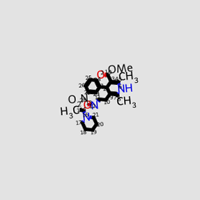 COC(=O)C1=C(C)NC(C)=C(CC=NOC(C)N2CCCCC2)C1c1cccc([N+](=O)[O-])c1